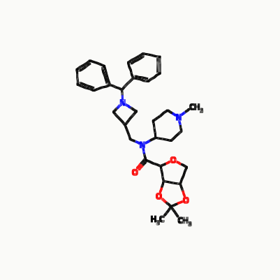 CN1CCC(N(CC2CN(C(c3ccccc3)c3ccccc3)C2)C(=O)C2OCC3OC(C)(C)OC32)CC1